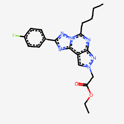 CCCCc1nc2nn(CC(=O)OCC)cc2c2nc(-c3ccc(F)cc3)nn12